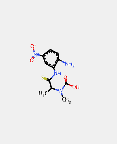 CC(C(=S)Nc1cc([N+](=O)[O-])ccc1N)N(C)C(=O)O